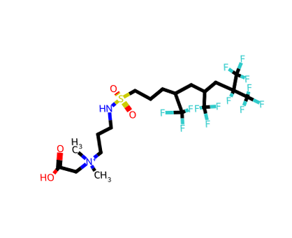 C[N+](C)(CCCNS(=O)(=O)CCCC(CC(CC(F)(C(F)(F)F)C(F)(F)F)C(F)(F)F)C(F)(F)F)CC(=O)O